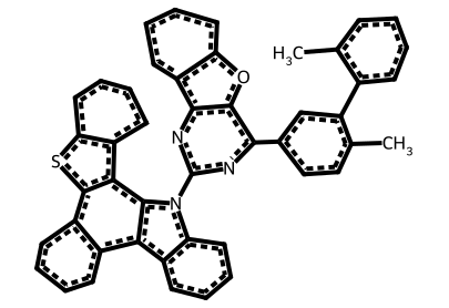 Cc1ccccc1-c1cc(-c2nc(-n3c4ccccc4c4c5ccccc5c5sc6ccccc6c5c43)nc3c2oc2ccccc23)ccc1C